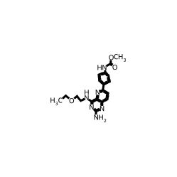 CCOCCNc1nc(N)nc2ccc(-c3ccc(NC(=O)OC)cc3)nc12